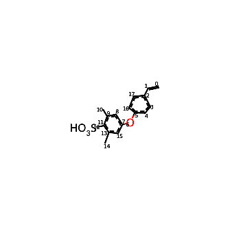 C=Cc1ccc(Oc2cc(C)c(S(=O)(=O)O)c(C)c2)cc1